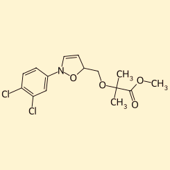 COC(=O)C(C)(C)OCC1C=CN(c2ccc(Cl)c(Cl)c2)O1